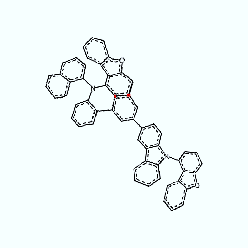 c1cc(-c2ccc3c(c2)c2ccccc2n3-c2cccc3oc4ccccc4c23)cc(-c2ccccc2N(c2cccc3ccccc23)c2cccc3oc4ccccc4c23)c1